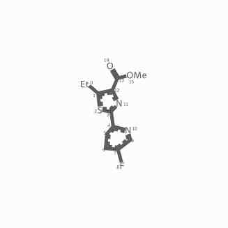 CCc1sc(-c2ccc(F)cn2)nc1C(=O)OC